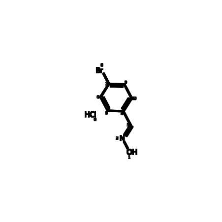 Cl.ON=Cc1ccc(Br)cc1